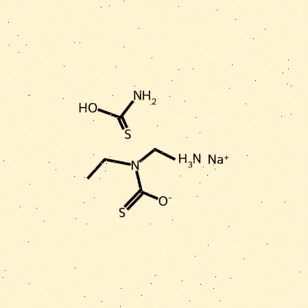 CCN(CC)C([O-])=S.N.NC(O)=S.[Na+]